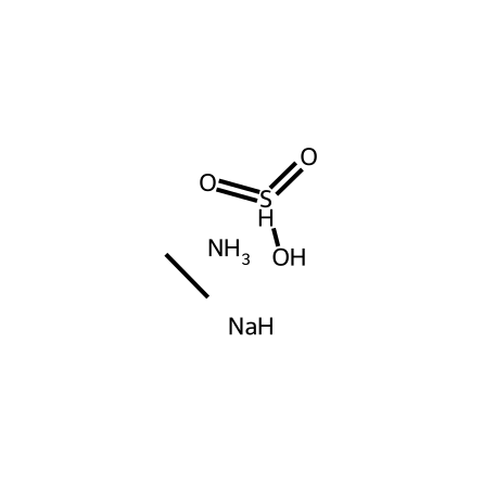 CC.N.O=[SH](=O)O.[NaH]